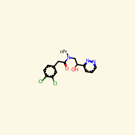 CCCN(CC(O)c1cccnn1)C(=O)Cc1ccc(Cl)c(Cl)c1